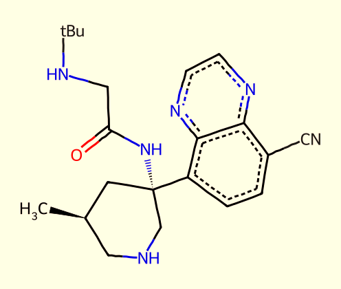 C[C@@H]1CNC[C@](NC(=O)CNC(C)(C)C)(c2ccc(C#N)c3nccnc23)C1